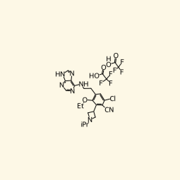 CCOc1c(CCNc2ncnc3[nH]cnc23)cc(Cl)c(C#N)c1C1CN(C(C)C)C1.O=C(O)C(F)(F)F.O=C(O)C(F)(F)F